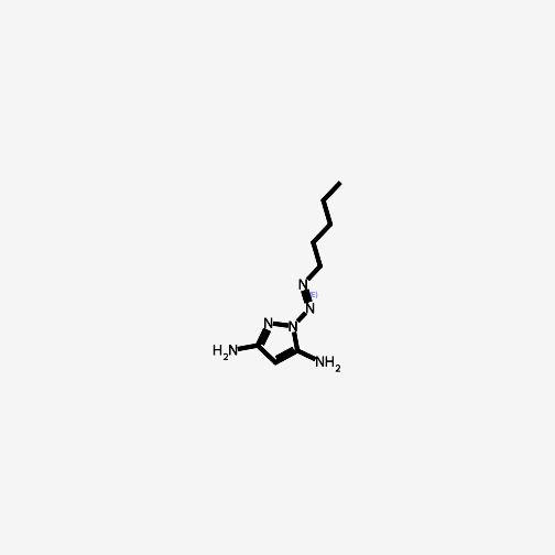 CCCCC/N=N/n1nc(N)cc1N